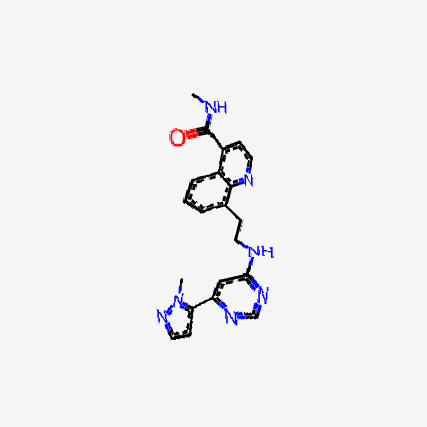 CNC(=O)c1ccnc2c(CCNc3cc(-c4ccnn4C)ncn3)cccc12